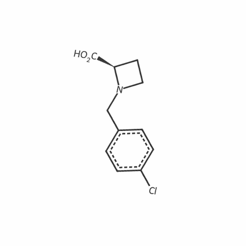 O=C(O)[C@H]1CCN1Cc1ccc(Cl)cc1